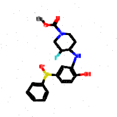 CC(C)(C)OC(=O)N1CCC(Nc2cc([S+]([O-])c3ccccc3)ccc2O)C(F)C1